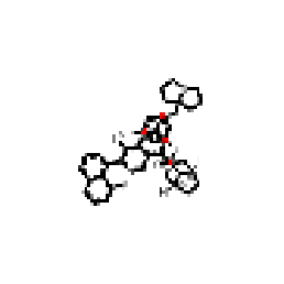 N#Cc1cccc(OC(=O)C2[C@@H]3CC[C@H]2CN(c2nc(OCC45CCCN4CCC5)nc4c(F)c(-c5cccc6cccc(F)c56)ncc24)C3)c1